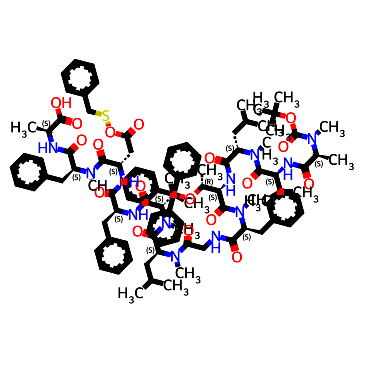 CC(C)C[C@@H](C(=O)N(C)[C@H](C(=O)N[C@@H](Cc1ccccc1)C(=O)N[C@@H](CC(=O)OSCc1ccccc1)C(=O)N(C)[C@@H](Cc1ccccc1)C(=O)N[C@@H](C)C(=O)O)C(C)C)N(C)C(=O)CNC(=O)[C@H](Cc1ccccc1)N(C)C(=O)[C@@H](NC(=O)[C@H](CC(C)C)N(C)C(=O)[C@@H](NC(=O)[C@H](C)N(C)C(=O)OC(C)(C)C)C(C)C)[C@@H](C)OC(c1ccccc1)(c1ccccc1)c1ccccc1